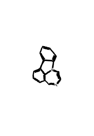 C1=Cn2c3ccccc3c3cccc(c32)C=N1